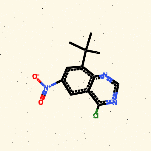 CC(C)(C)c1cc([N+](=O)[O-])cc2c(Cl)ncnc12